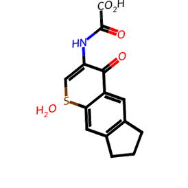 O.O=C(O)C(=O)Nc1csc2cc3c(cc2c1=O)CCC3